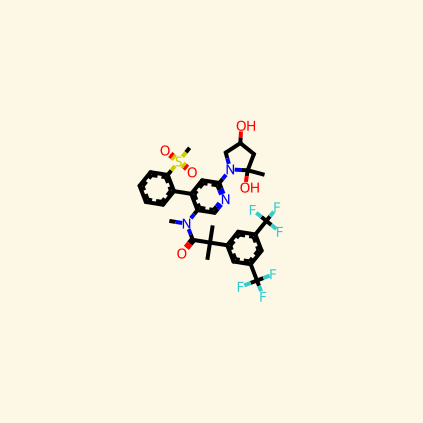 CN(C(=O)C(C)(C)c1cc(C(F)(F)F)cc(C(F)(F)F)c1)c1cnc(N2CC(O)CC2(C)O)cc1-c1ccccc1S(C)(=O)=O